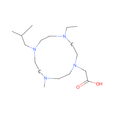 CCN1CCN(CC(=O)O)CCN(C)CCN(CC(C)C)CC1